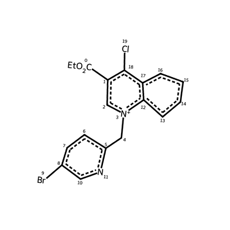 CCOC(=O)c1c[n+](Cc2ccc(Br)cn2)c2ccccc2c1Cl